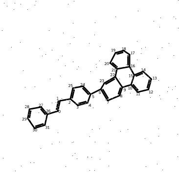 C(=C\c1ccc(-c2ccc3c4ccccc4c4ccccc4c3c2)cc1)/c1ccccc1